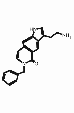 NCCc1c[nH]c2cc3ccn(Cc4ccccc4)c(=O)c3cc12